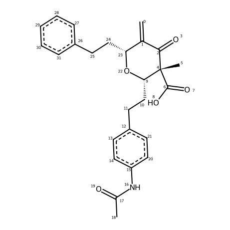 C=C1C(=O)[C@](C)(C(=O)O)[C@H](CCc2ccc(NC(C)=O)cc2)O[C@@H]1CCc1ccccc1